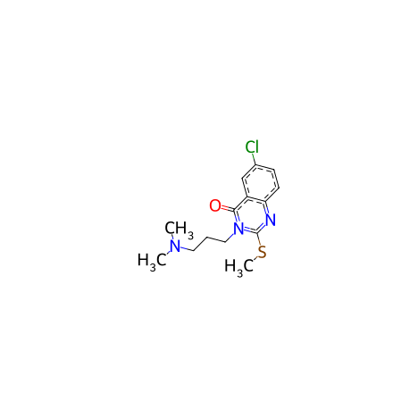 CSc1nc2ccc(Cl)cc2c(=O)n1CCCN(C)C